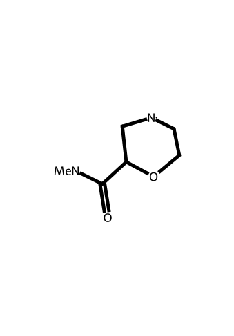 CNC(=O)C1C[N]CCO1